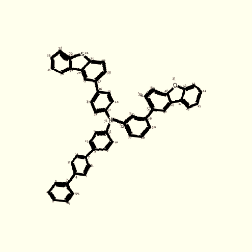 c1ccc(-c2ccc(-c3ccc(N(c4ccc(-c5ccc6sc7ccccc7c6c5)cc4)c4cccc(-c5ccc6oc7ccccc7c6c5)c4)cc3)cc2)cc1